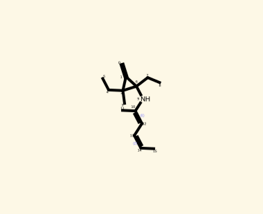 C=C1C(C)(CC)C1(CC)N/C(C)=C/C=C\C